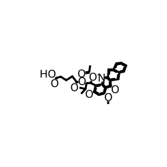 COc1cc2c(c3c1c(=O)c1cc4ccccc4cc1n3C)C(OC(C)=O)C(OC(=O)CCCC(=O)O)C(C)(C)O2